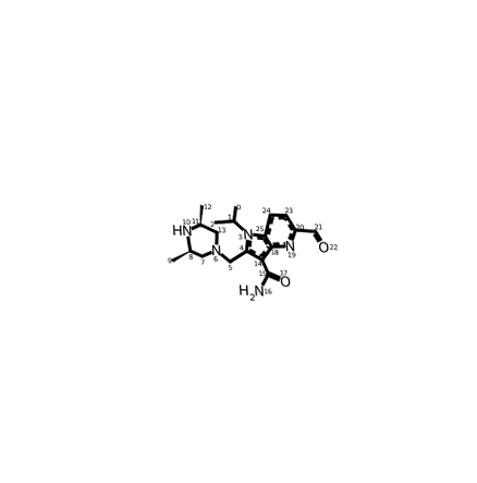 CC(C)n1c(CN2C[C@@H](C)N[C@@H](C)C2)c(C(N)=O)c2nc(C=O)ccc21